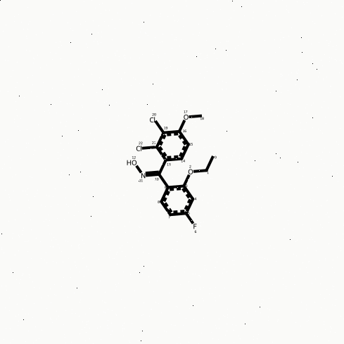 CCOc1cc(F)ccc1C(=NO)c1ccc(OC)c(Cl)c1Cl